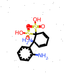 Nc1ccccc1C1(N)C=CC=CC1(S(=O)(=O)O)S(=O)(=O)O